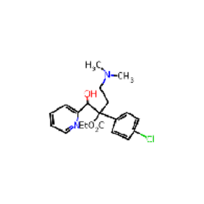 CCOC(=O)C(CCN(C)C)(c1ccc(Cl)cc1)C(O)c1ccccn1